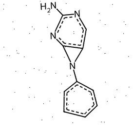 Nc1ncc2c(n1)N2c1ccccc1